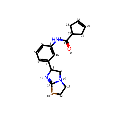 O=C(Nc1cccc(C2CN3CCSC3=N2)c1)C1CC=CC1